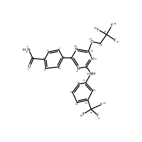 NC(=O)c1ccc(-c2nc(Nc3cccc(C(F)(F)F)c3)nc(OCC(F)(F)F)n2)cc1